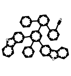 N#Cc1ccccc1-c1cccc(-c2ccccc2)c1-c1cc(-c2ccc3oc4ccccc4c3c2)c(-c2ccccc2)c(-c2ccc3oc4ccccc4c3c2)c1